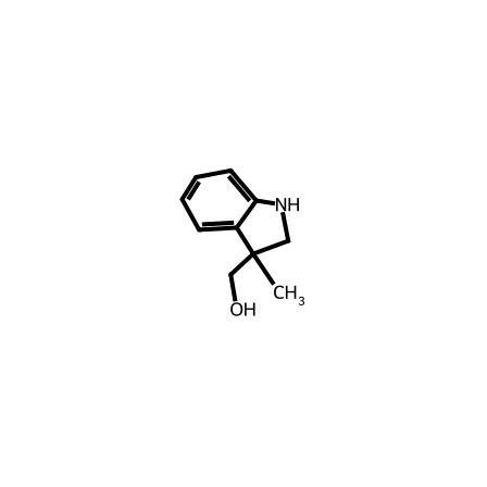 CC1(CO)CNc2ccccc21